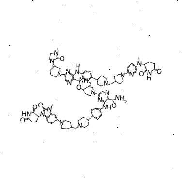 CN1CCN([C@@H]2CCCN(c3cnc(C(N)OC4CCN(c5cnc(C(N)=O)c(Nc6ccc(C7CCN(CC8CCN(c9ccc%10c(c9)n(C)c(=O)n%10C9CCC(=O)NC9=O)CC8)CC7)cc6)n5)CC4)c(Nc4ccc(C5CCN(CC6CCN(c7ccc(N(C)C8CCC(=O)NC8=O)cn7)CC6)CC5)cc4)n3)C2)C1=O